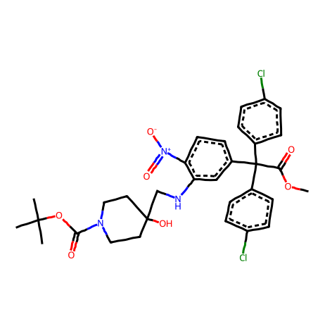 COC(=O)C(c1ccc(Cl)cc1)(c1ccc(Cl)cc1)c1ccc([N+](=O)[O-])c(NCC2(O)CCN(C(=O)OC(C)(C)C)CC2)c1